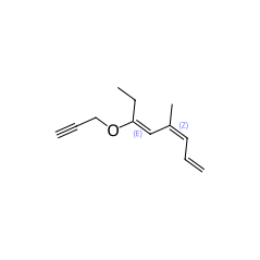 C#CCO/C(=C/C(C)=C\C=C)CC